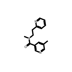 Cc1cncc(C(=O)N(C)CCc2ccccn2)c1